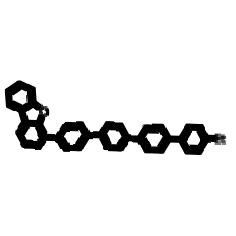 CCc1ccc(-c2ccc(-c3ccc(-c4ccc(-c5cccc6c5oc5ccccc56)cc4)cc3)cc2)cc1